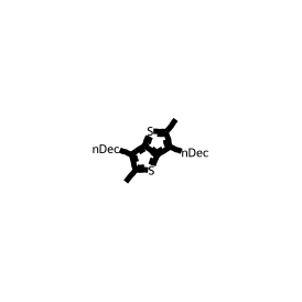 CCCCCCCCCCc1c(C)sc2c(CCCCCCCCCC)c(C)sc12